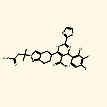 COC(=O)CC(C)(C)n1cc2c(n1)CCC(C1=C(C(=O)OC)C(c3ccc(F)c(F)c3Cl)N=C(c3nccs3)N1)C2